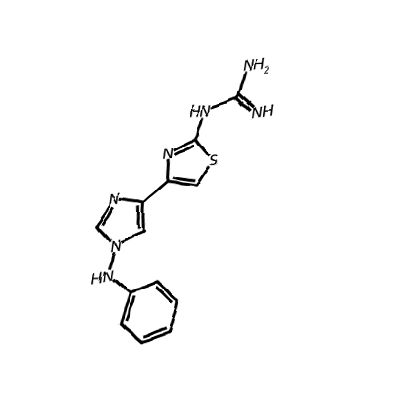 N=C(N)Nc1nc(-c2cn(Nc3ccccc3)cn2)cs1